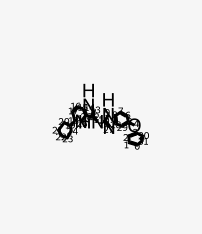 c1ccc(Oc2ccc3[nH]c(Nc4c[nH]c5ccc(C6CCCCC6)nc45)nc3c2)cc1